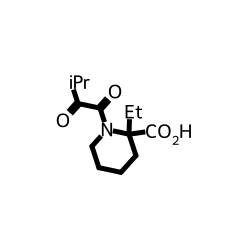 CCC1(C(=O)O)CCCCN1C(=O)C(=O)C(C)C